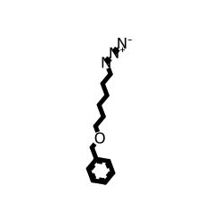 [N-]=[N+]=NCCCCCCOCc1ccccc1